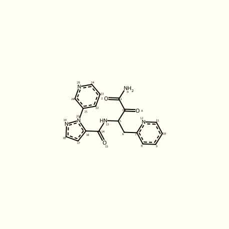 NC(=O)C(=O)C(Cc1ccccn1)NC(=O)c1ccnn1-c1cccnc1